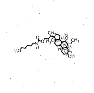 CC[C@H]1[C@@H](O)[C@@H]2[C@H](CC[C@]3(C)[C@@H]([C@H](C)CCOC(=O)NCCCCCO)CC[C@@H]23)[C@@]2(C)CC[C@@H](O)C[C@@H]12